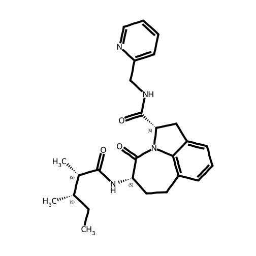 CC[C@H](C)[C@H](C)C(=O)N[C@H]1CCc2cccc3c2N(C1=O)[C@H](C(=O)NCc1ccccn1)C3